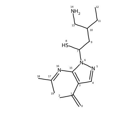 C=C(C)c1cnn(C(S)CC(CC)CN)c1N=C(C)C